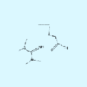 CCCCC(=O)O.CN(C)C(=N)N(C)C